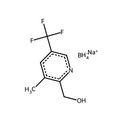 Cc1cc(C(F)(F)F)cnc1CO.[BH4-].[Na+]